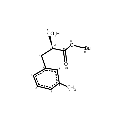 Cc1cccc(C[C@@H](C(=O)O)C(=O)OC(C)(C)C)c1